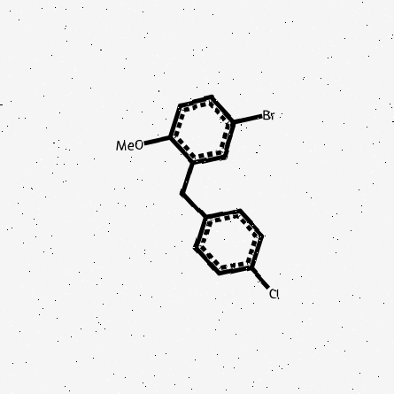 COc1ccc(Br)cc1Cc1ccc(Cl)cc1